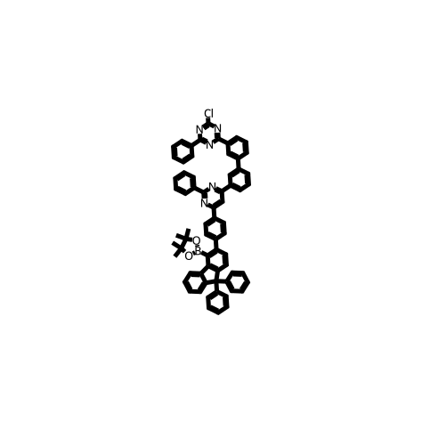 CC1(C)OB(c2c(-c3ccc(-c4cc(-c5cccc(-c6cccc(-c7nc(Cl)nc(-c8ccccc8)n7)c6)c5)nc(-c5ccccc5)n4)cc3)ccc3c2-c2ccccc2C3(c2ccccc2)c2ccccc2)OC1(C)C